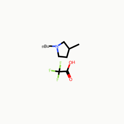 CCCCN1CCC(C)C1.O=C(O)C(F)(F)F